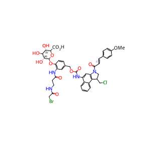 COc1ccc(/C=C/C(=O)N2CC(CCl)c3c2cc(NC(=O)OCc2ccc(OC4OC(C(=O)O)[C@@H](O)C(O)[C@H]4O)c(NC(=O)CCNC(=O)CBr)c2)c2ccccc32)cc1